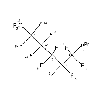 CCCC(F)(F)C(C)(F)C(F)(F)C(F)(F)C(F)(F)C(F)(F)F